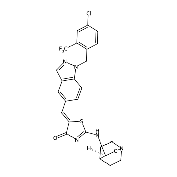 O=C1N=C(N[C@H]2CN3CCC2CC3)S/C1=C\c1ccc2c(cnn2Cc2ccc(Cl)cc2C(F)(F)F)c1